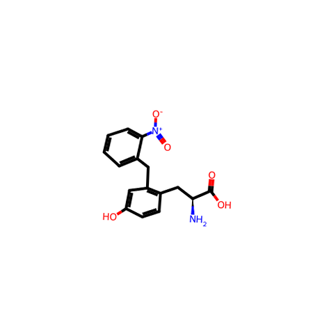 N[C@@H](Cc1ccc(O)cc1Cc1ccccc1[N+](=O)[O-])C(=O)O